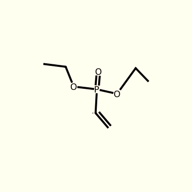 C=[C]P(=O)(OCC)OCC